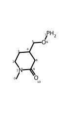 CN1CCC(COP)CC1=O